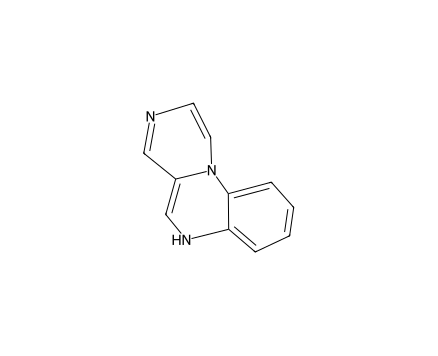 C1=CN2C(=CNc3ccccc32)C=N1